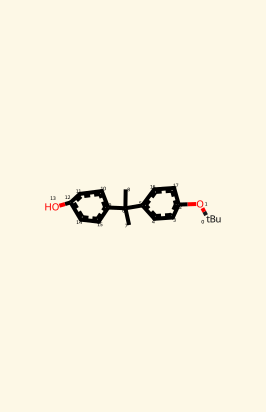 CC(C)(C)Oc1ccc(C(C)(C)c2ccc(O)cc2)cc1